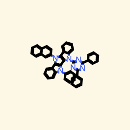 c1ccc(-c2nc(-c3ccccc3)nc(-n3c4ccccc4c4c3c3c(c5ccccc5n3-c3ccccc3)n4-c3ccc4ccccc4c3)n2)cc1